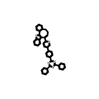 C1=C(/c2ccc(-c3ccc(-c4nc(-c5ccccc5)nc(-c5ccccc5)n4)cc3)cn2)c2c(sc3ccccc23)-c2ccccc2CC/1